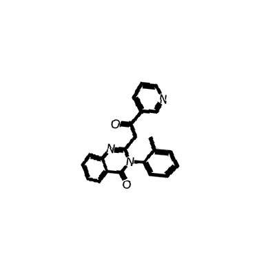 Cc1ccccc1-n1c(CC(=O)c2cccnc2)nc2ccccc2c1=O